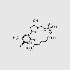 Cc1cn([C@H]2C[C@H](O)[C@@H](COP(=O)(O)O)O2)c(=O)[nH]c1=O.O=C(O)CCCCC(=O)O